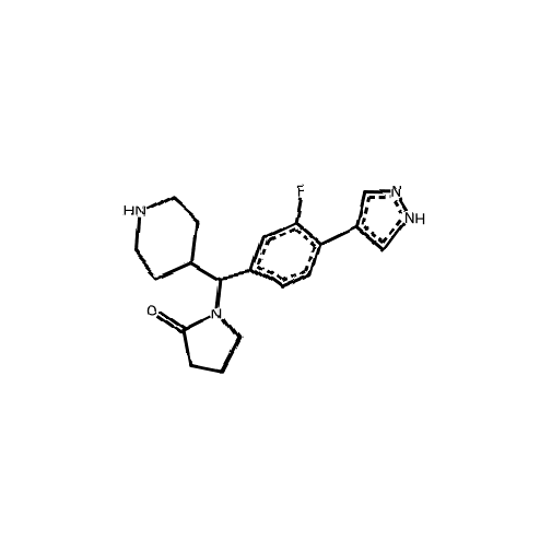 O=C1CCCN1C(c1ccc(-c2cn[nH]c2)c(F)c1)C1CCNCC1